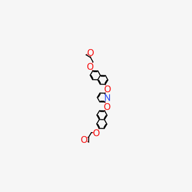 c1cc(Oc2ccc3cc(OCC4CO4)ccc3c2)nc(Oc2ccc3cc(OCC4CO4)ccc3c2)c1